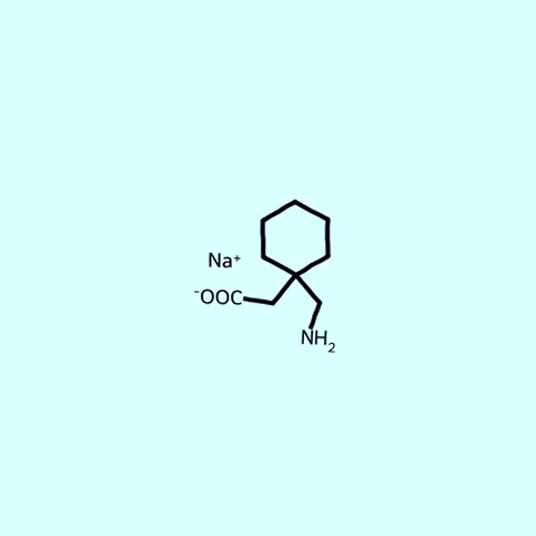 NCC1(CC(=O)[O-])CCCCC1.[Na+]